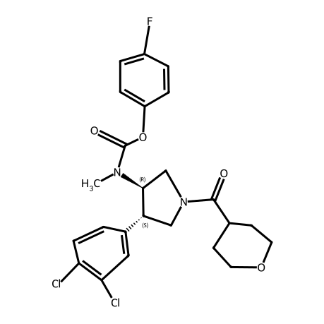 CN(C(=O)Oc1ccc(F)cc1)[C@H]1CN(C(=O)C2CCOCC2)C[C@@H]1c1ccc(Cl)c(Cl)c1